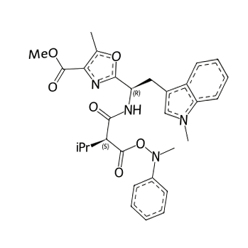 COC(=O)c1nc([C@@H](Cc2cn(C)c3ccccc23)NC(=O)[C@@H](C(=O)ON(C)c2ccccc2)C(C)C)oc1C